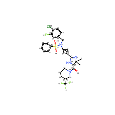 CC1(C)N=C(C23CC(N(Cc4ccc(Cl)c(F)c4)S(=O)(=O)c4ccccc4)(C2)C3)N[C@H]1C(=O)N1CCC[C@@H](C(F)(F)F)C1